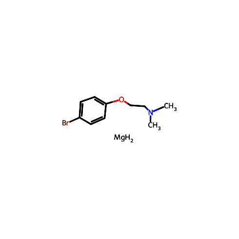 CN(C)CCOc1ccc(Br)cc1.[MgH2]